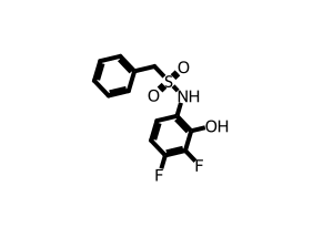 O=S(=O)(Cc1ccccc1)Nc1ccc(F)c(F)c1O